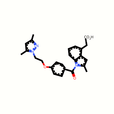 Cc1cc(C)n(CCOc2ccc(C(=O)n3c(C)cc4c(CC(=O)O)cccc43)cc2)n1